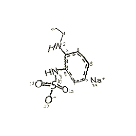 CCNc1ccccc1NS(=O)(=O)[O-].[Na+]